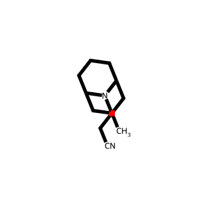 CC1CC2CCCC(C1)N2CCC#N